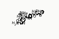 CN[C@@H](C)C(=O)N[C@H]1CN(C(=O)Nc2ccc(NC(=O)N(CO)CCC(=O)N3CCCC3)cc2)CC[C@H]2CC[C@@H](C(N)=O)N2C1=O